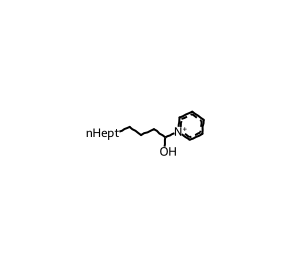 CCCCCCCCCCC(O)[n+]1ccccc1